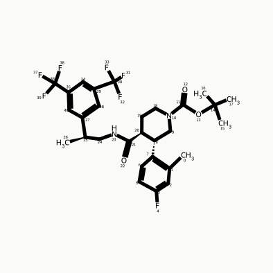 Cc1cc(F)ccc1[C@H]1CN(C(=O)OC(C)(C)C)CC[C@@H]1C(=O)NC[C@@H](C)c1cc(C(F)(F)F)cc(C(F)(F)F)c1